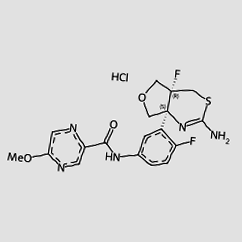 COc1cnc(C(=O)Nc2ccc(F)c([C@]34COC[C@@]3(F)CSC(N)=N4)c2)cn1.Cl